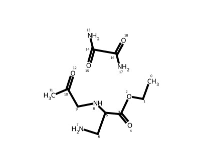 CCOC(=O)C(CN)NCC(C)=O.NC(=O)C(N)=O